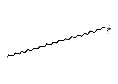 Cl[SiH](Cl)CCCCCCCCCCCCCCCCCCCCCCCCCCCCCCCI